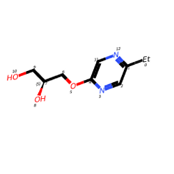 CCc1cnc(OC[C@@H](O)CO)cn1